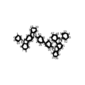 c1ccc(-n2c3ccccc3c3cc4c(cc32)c2ccccc2n4-c2ccc(-c3ccc(-n4c5ccccc5c5ccc6c(c7ccccc7n6-c6ccccc6)c54)cc3)cc2)cc1